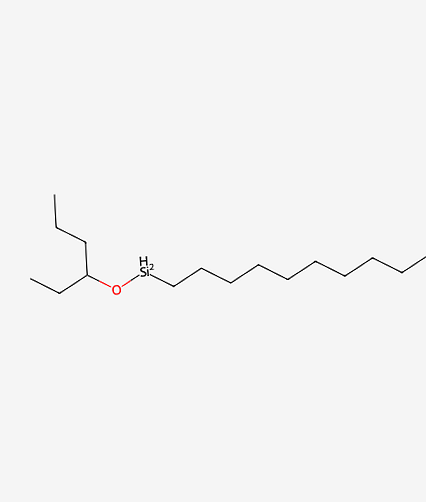 CCCCCCCCCC[SiH2]OC(CC)CCC